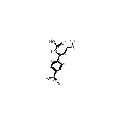 COCCC(NC(=O)O)c1ccc([N+](=O)[O-])cc1